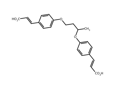 CC(CCOc1ccc(C=CC(=O)O)cc1)Oc1ccc(C=CC(=O)O)cc1